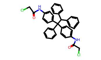 O=C(CCl)Nc1ccc(C(c2ccccc2)(c2ccc(NC(=O)CCl)cc2)C(c2ccccc2)c2ccccc2)cc1